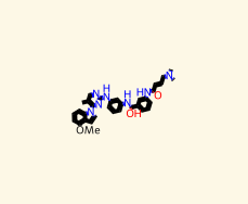 COc1cccc2c1ccn2-c1nc(Nc2cccc(NC(O)c3cccc(NC(=O)/C=C/CN(C)C)c3)c2)ncc1C